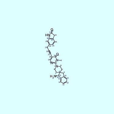 Cn1c(N2CCC3(CC2)Cc2ccccc2[C@H]3N)ncc(C#CCc2ccc3c(c2)NC(=O)C3)c1=O